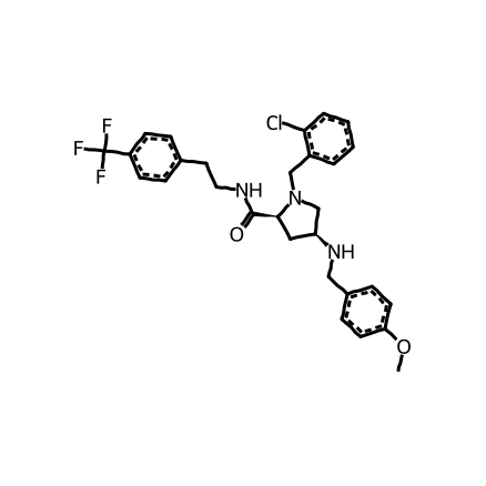 COc1ccc(CN[C@H]2C[C@@H](C(=O)NCCc3ccc(C(F)(F)F)cc3)N(Cc3ccccc3Cl)C2)cc1